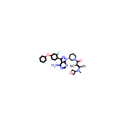 CC(C)/C(=C(/C#N)C(=O)N1CCC[C@@H](n2nc(-c3ccc(Oc4ccccc4)cc3F)c3c(N)ncnc32)C1)N(C)C1COC1